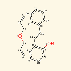 C=CCOCC=C.Oc1ccccc1C=Cc1ccccc1